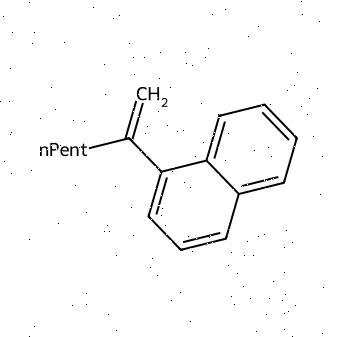 C=C(CCCCC)c1cccc2ccccc12